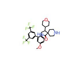 COc1ccc(CC(C2CCOCC2)C2(C(=O)NCc3cc(C(F)(F)F)cc(C(F)(F)F)c3)CCNCC2)cc1